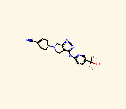 CC(C)(O)c1ccc(Nc2ncnc3c2CCN(C2=CC=C(C#N)CC2)C3)nc1